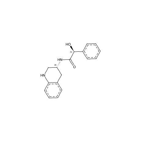 O=C(N[C@H]1CNc2ccccc2C1)[C@@H](O)c1ccccc1